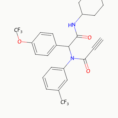 C#CC(=O)N(c1cccc(C(F)(F)F)c1)C(C(=O)NC1CCCCC1)c1ccc(OC(F)(F)F)cc1